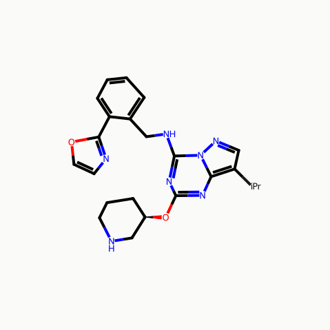 CC(C)c1cnn2c(NCc3ccccc3-c3ncco3)nc(O[C@@H]3CCCNC3)nc12